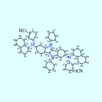 N#Cc1cccc(N(c2ccc3c(c2)n(-c2ccccc2)c2c4ccc(N(c5cccc(C#N)c5)c5cccc6ccccc56)cc4n(-c4ccccc4)c32)c2cccc3ccccc23)c1